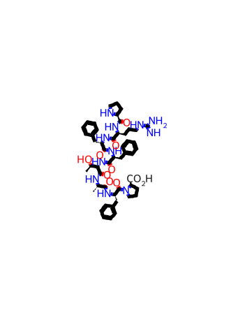 C[C@H](NC(=O)[C@@H](NC(=O)[C@H](Cc1ccccc1)NC(=O)[C@H](Cc1ccccc1)NC(=O)[C@H](CCCNC(=N)N)NC(=O)[C@@H]1CCCN1)[C@@H](C)O)C(=O)N[C@@H](Cc1ccccc1)C(=O)N1CCC[C@@H]1C(=O)O